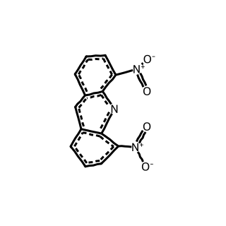 O=[N+]([O-])c1cccc2cc3cccc([N+](=O)[O-])c3nc12